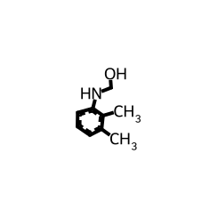 Cc1cccc(NCO)c1C